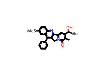 CCC(C)C(O)c1cc2n(c(=O)c1C)Cc1c-2nc2ccc(SC)cc2c1-c1ccccc1